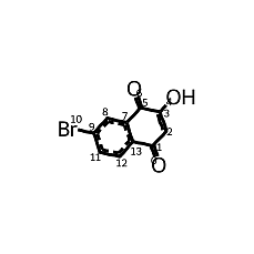 O=C1C=C(O)C(=O)c2cc(Br)ccc21